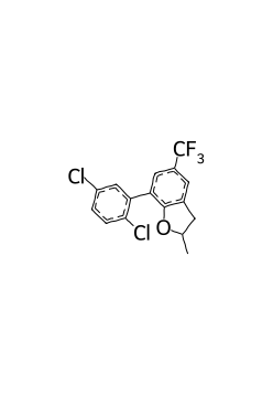 CC1Cc2cc(C(F)(F)F)cc(-c3cc(Cl)ccc3Cl)c2O1